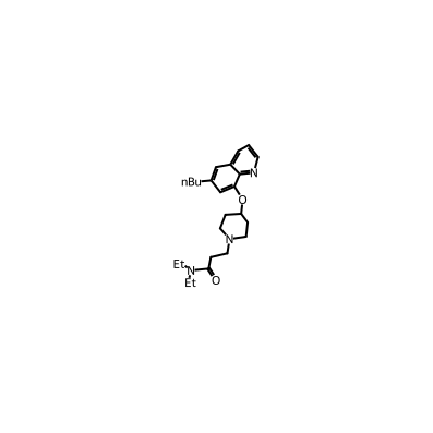 CCCCc1cc(OC2CCN(CCC(=O)N(CC)CC)CC2)c2ncccc2c1